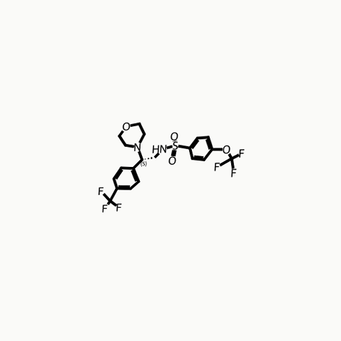 O=S(=O)(NC[C@H](c1ccc(C(F)(F)F)cc1)N1CCOCC1)c1ccc(OC(F)(F)F)cc1